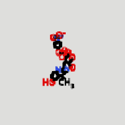 CCc1c2c(nc3ccc(O)cc13)-c1cc3c(c(=O)n1C2)COC(=O)[C@H]3OC(=O)Oc1ccc([N+](=O)[O-])cc1